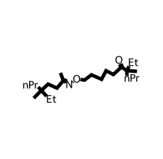 CCCC(C)(CC)CC/C(C)=N/OCCCCCC(=O)C(C)(CC)CCC